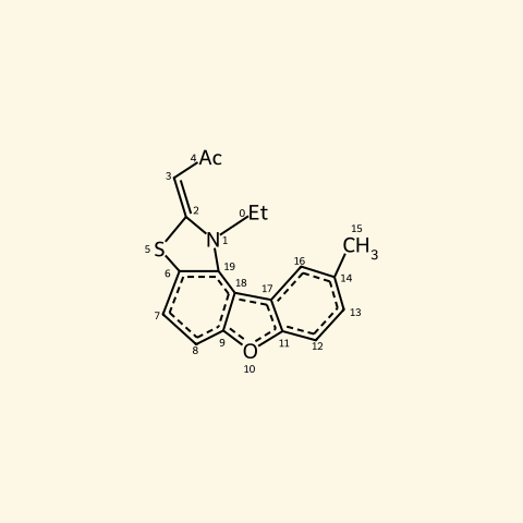 CCN1C(=CC(C)=O)Sc2ccc3oc4ccc(C)cc4c3c21